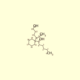 CCCCCC(O)C1(C(CC)CCCO)CCCCC1